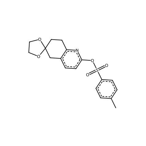 Cc1ccc(S(=O)(=O)Oc2ccc3c(n2)CCC2(C3)OCCO2)cc1